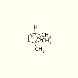 CC12[CH]C[C@@H](CC1)C2(C)C